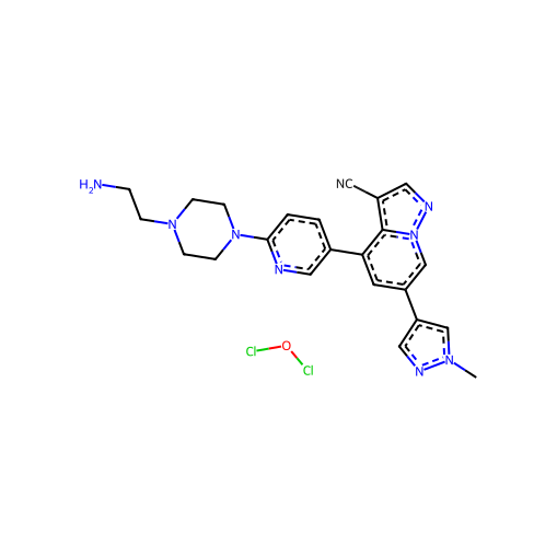 ClOCl.Cn1cc(-c2cc(-c3ccc(N4CCN(CCN)CC4)nc3)c3c(C#N)cnn3c2)cn1